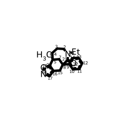 CCN1CCC[C@@]2(C)CC(c3ccccc3)(Cc3cnoc32)C1=O